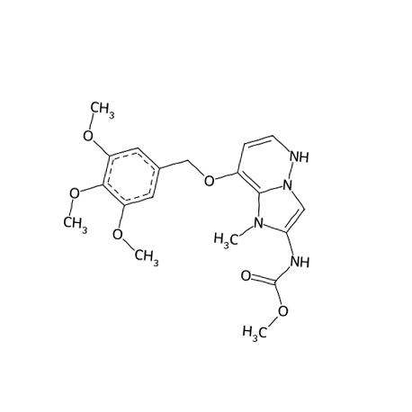 COC(=O)NC1=CN2NC=CC(OCc3cc(OC)c(OC)c(OC)c3)=C2N1C